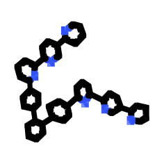 c1ccc(-c2ccc(-c3cccc(-c4ccc(-c5ccccc5-c5ccc(-c6cccc(-c7ccc(-c8ccccn8)cn7)n6)cc5)cc4)n3)nc2)nc1